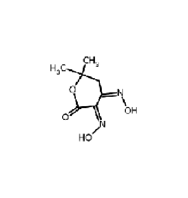 CC1(C)CC(=NO)C(=NO)C(=O)O1